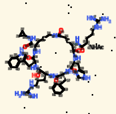 CC(=O)N[C@@H](CCCNC(=N)N)C(=O)N[C@H]1CCC(=O)NCCC[C@@H](C(=O)NC2CC2)NC(=O)[C@H](Cc2c[nH]c3ccccc23)NC(O)[C@H](CCCNC(=N)N)NC(=O)[C@@H](Cc2ccccc2)NC(=O)[C@H](Cc2c[nH]cn2)NC1=O